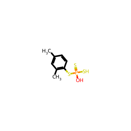 Cc1ccc(SP(O)(=S)S)c(C)c1